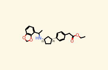 CCOC(=O)Cc1ccc([C@@H]2CC[C@H](NC(C)c3cccc4c3OCO4)C2)cc1